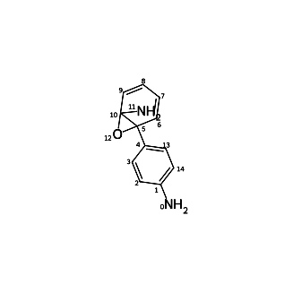 Nc1ccc(C23C=CC=CC2(N)O3)cc1